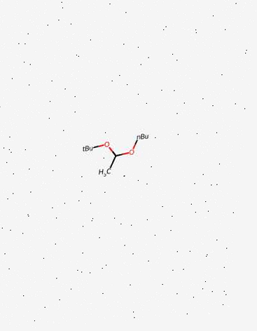 CCCCOC(C)OC(C)(C)C